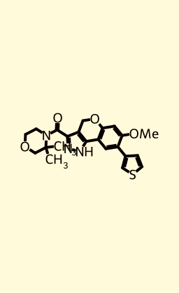 COc1cc2c(cc1-c1ccsc1)-c1[nH]nc(C(=O)N3CCOCC3(C)C)c1CO2